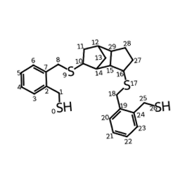 SCc1ccccc1CSC1CC2CC1C1C(SCc3ccccc3CS)CCC21